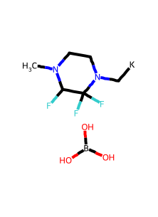 CN1CCN([CH2][K])C(F)(F)C1F.OB(O)O